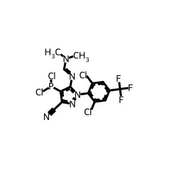 CN(C)C=Nc1c(P(Cl)Cl)c(C#N)nn1-c1c(Cl)cc(C(F)(F)F)cc1Cl